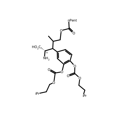 CCCCCC(=O)OCC(C)C(c1ccc(OC(=O)OCCC(C)C)c(OC(=O)OCCC(C)C)c1)[C@H](N)C(=O)O